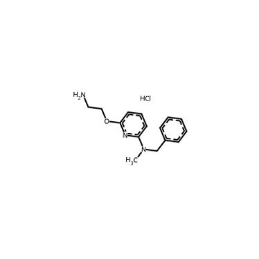 CN(Cc1ccccc1)c1cccc(OCCN)n1.Cl